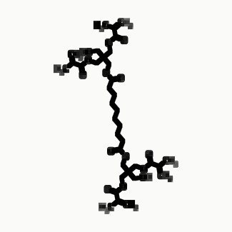 C=C(C)C(=O)OCC(CO)(COC(=O)CCCCCCCCC(=O)OCC(CO)(COC(=O)C(=C)C)COC(=O)C(=C)C)COC(=O)C(=C)C